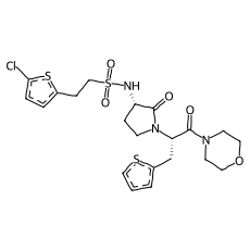 O=C([C@H](Cc1cccs1)N1CC[C@H](NS(=O)(=O)CCc2ccc(Cl)s2)C1=O)N1CCOCC1